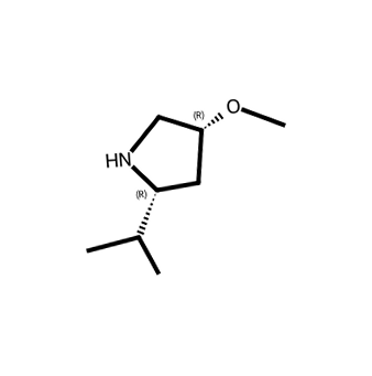 CO[C@H]1CN[C@@H](C(C)C)C1